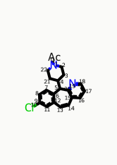 CC(=O)N1CCC(C2c3ccc(Cl)cc3C=Cc3cccnc32)CC1